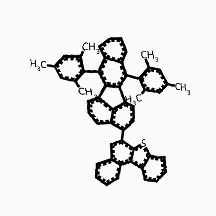 Cc1cc(C)c(-c2c3c(c(-c4c(C)cc(C)cc4C)c4ccccc24)-c2ccc(-c4cc5ccccc5c5c4sc4ccccc45)c4cccc-3c24)c(C)c1